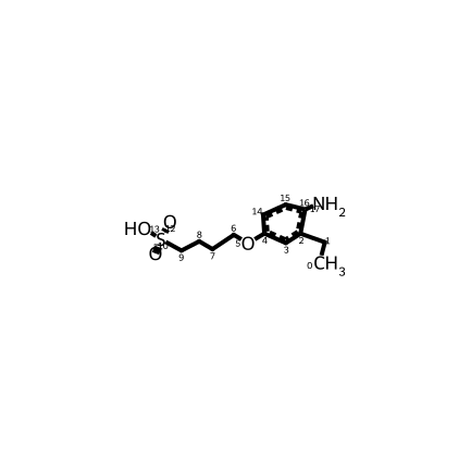 CCc1cc(OCCCCS(=O)(=O)O)ccc1N